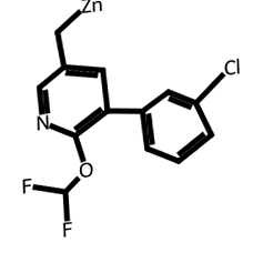 FC(F)Oc1ncc([CH2][Zn])cc1-c1cccc(Cl)c1